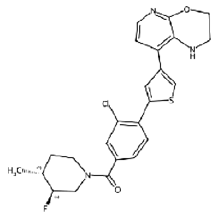 C[C@@H]1CCN(C(=O)c2ccc(-c3cc(-c4ccnc5c4NCCO5)cs3)c(Cl)c2)C[C@H]1F